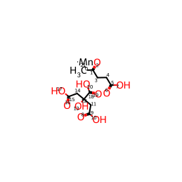 CC(=O)CCC(=O)O.O=C(O)CC(O)(CC(=O)O)C(=O)O.[Mn]